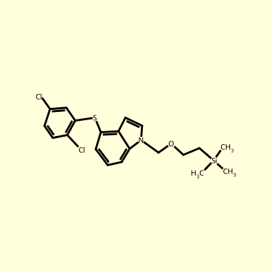 C[Si](C)(C)CCOCn1ccc2c(Sc3cc(Cl)ccc3Cl)cccc21